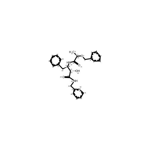 C[C@@H](OCc1ccccc1)C(=O)N[C@H](Cc1ccccc1)[C@H](O)C(=O)NCc1ccccn1